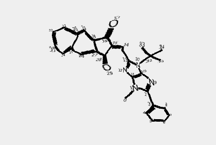 Cn1c(-c2ccccc2)nc2c1nc(C=C1C(=O)c3cc4ccccc4cc3C1=O)n2C(C)(C)C